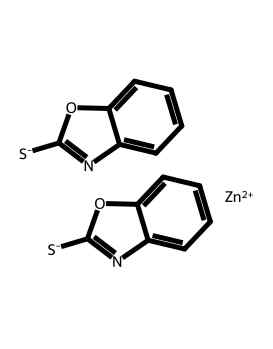 [S-]c1nc2ccccc2o1.[S-]c1nc2ccccc2o1.[Zn+2]